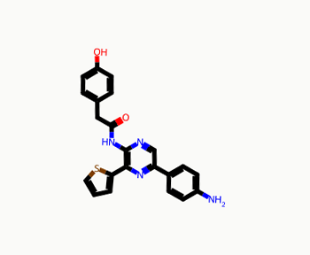 Nc1ccc(-c2cnc(NC(=O)Cc3ccc(O)cc3)c(-c3cccs3)n2)cc1